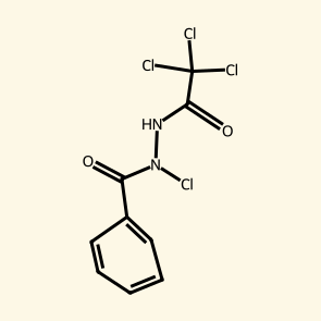 O=C(c1ccccc1)N(Cl)NC(=O)C(Cl)(Cl)Cl